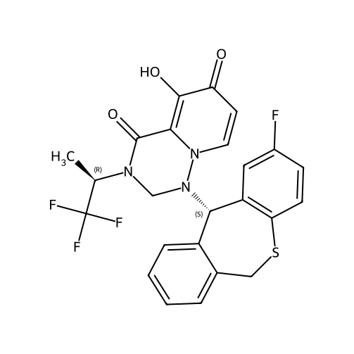 C[C@@H](N1CN([C@H]2c3ccccc3CSc3ccc(F)cc32)n2ccc(=O)c(O)c2C1=O)C(F)(F)F